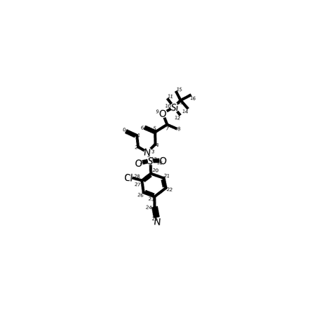 C=CCN(CC(=C)C(C)O[Si](C)(C)C(C)(C)C)S(=O)(=O)c1ccc(C#N)cc1Cl